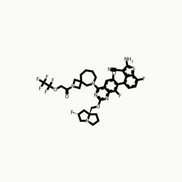 N#Cc1c(N)sc2c(F)ccc(-c3c(Cl)cc4c(N5CCCCC6(CN(C(=O)COC(F)(F)C(F)(F)F)C6)C5)nc(OC[C@@]56CCCN5C[C@H](F)C6)nc4c3F)c12